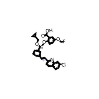 O=C(O)c1cc(OCF)ccc1OC[C@H](OCC1CC1)c1cccc(/C=C/c2ccc3ccc(Cl)cc3n2)c1